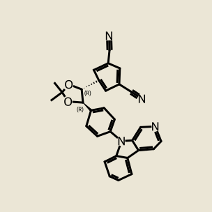 CC1(C)O[C@H](c2ccc(-n3c4ccccc4c4ccncc43)cc2)[C@@H](c2cc(C#N)cc(C#N)c2)O1